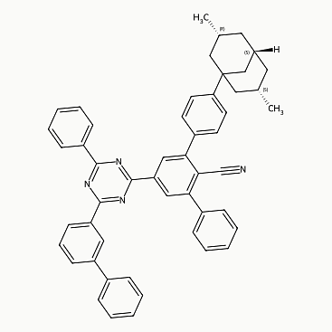 C[C@@H]1C[C@@H]2C[C@H](C)CC(c3ccc(-c4cc(-c5nc(-c6ccccc6)nc(-c6cccc(-c7ccccc7)c6)n5)cc(-c5ccccc5)c4C#N)cc3)(C1)C2